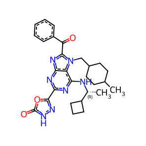 CC1CCC(Cn2c(C(=O)c3ccccc3)nc3nc(-c4n[nH]c(=O)o4)nc(N[C@H](C)C4CCC4)c32)CC1